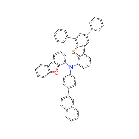 c1ccc(-c2cc(-c3ccccc3)c3sc4c(N(c5ccc(-c6ccc7ccccc7c6)cc5)c5cccc6c5oc5ccccc56)cccc4c3c2)cc1